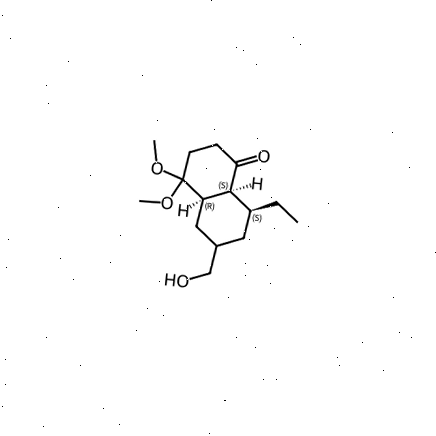 CC[C@H]1CC(CO)C[C@@H]2[C@H]1C(=O)CCC2(OC)OC